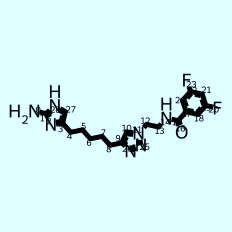 Nc1nc(CCCCCc2cn(CCNC(=O)c3cc(F)cc(F)c3)nn2)c[nH]1